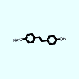 COc1ccc(/C=C/c2ccc(O)cc2)cc1